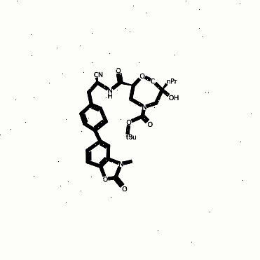 CCC[C@]1(O)CO[C@H](C(=O)N[C@H](C#N)Cc2ccc(-c3ccc4oc(=O)n(C)c4c3)cc2)CN(C(=O)OC(C)(C)C)C1